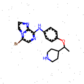 CC(Oc1ccc(Nc2ncc(Br)n3ccnc23)cc1)C1CCNCC1